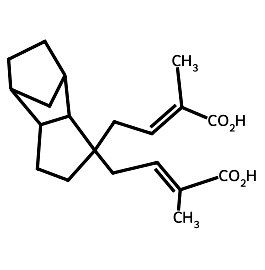 CC(=CCC1(CC=C(C)C(=O)O)CCC2C3CCC(C3)C21)C(=O)O